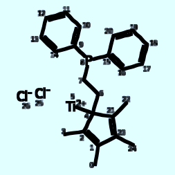 CC1=C(C)[C]([Ti+2])(CCP(c2ccccc2)c2ccccc2)C(C)=C1C.[Cl-].[Cl-]